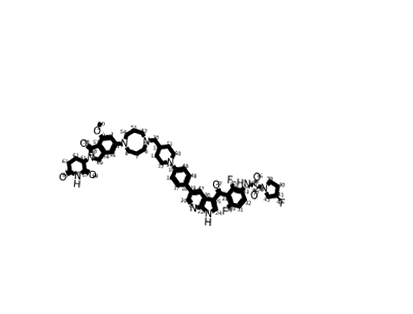 COc1cc(N2CCCN(CC3CCN(c4ccc(-c5cnc6[nH]cc(C(=O)c7c(F)ccc(NS(=O)(=O)N8CC[C@@H](F)C8)c7F)c6c5)cc4)CC3)CCC2)cc2c1C(=O)N(C1CCC(=O)NC1=O)C2